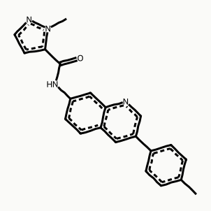 Cc1ccc(-c2cnc3cc(NC(=O)c4ccnn4C)ccc3c2)cc1